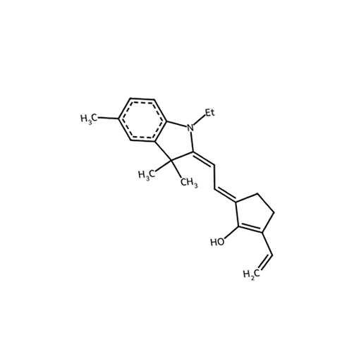 C=CC1=C(O)/C(=C/C=C2/N(CC)c3ccc(C)cc3C2(C)C)CC1